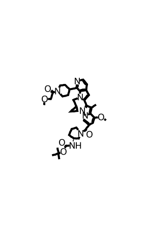 COCC(=O)N1CCC(c2nccc3cc(-c4nn5cc(C(=O)N6CCC[C@@H](NC(=O)OC(C)(C)C)C6)cc(OC)c5c4C)n(CC4CC4)c23)CC1